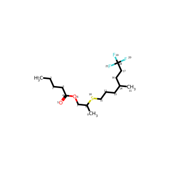 CCCCC(=O)OCC(C)SCCCC(C)CCC(F)(F)F